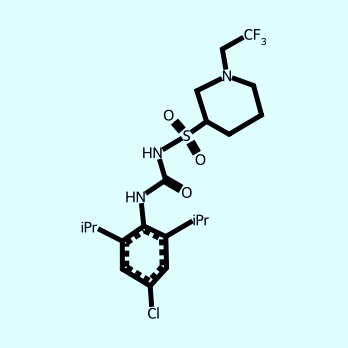 CC(C)c1cc(Cl)cc(C(C)C)c1NC(=O)NS(=O)(=O)C1CCCN(CC(F)(F)F)C1